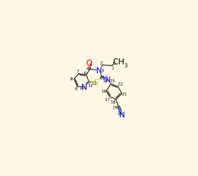 CCCn1c(=O)c2cccnc2s/c1=N\c1ccc(C#N)cc1